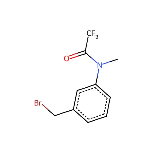 CN(C(=O)C(F)(F)F)c1cccc(CBr)c1